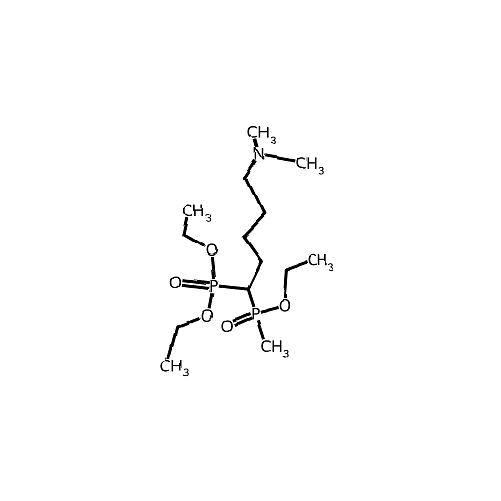 CCOP(C)(=O)C(CCCCN(C)C)P(=O)(OCC)OCC